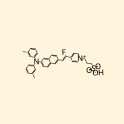 Cc1cccc(N(c2cccc(C)c2)c2ccc3cc(/C=C(\F)c4cc[n+](CCCS(=O)(=O)O)cc4)ccc3c2)c1